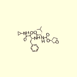 CC(C)C[C@H](NC(=O)O[C@H]1CCOC1)C(=O)N[C@@H](Cc1ccccc1)C(=O)C(=O)NC1CC1